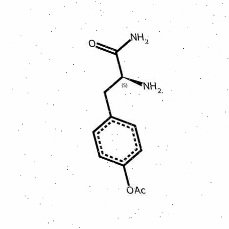 CC(=O)Oc1ccc(C[C@H](N)C(N)=O)cc1